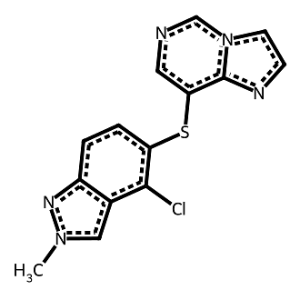 Cn1cc2c(Cl)c(Sc3cncn4ccnc34)ccc2n1